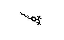 CCCCOCc1ccc(C(CC(C)(C)C)C(C)(C)C)cc1